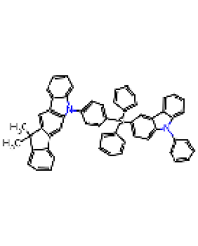 CC1(C)c2ccccc2-c2cc3c(cc21)c1ccccc1n3-c1ccc([Si](c2ccccc2)(c2ccccc2)c2ccc3c(c2)c2ccccc2n3-c2ccccc2)cc1